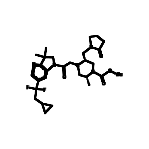 C[C@@H]1CN(CC(=O)N2CC(C)(C)c3ncc(C(F)(F)CC4CC4)cc32)[C@@H](CN2CCCC2=O)CN1C(=O)OC(C)(C)C